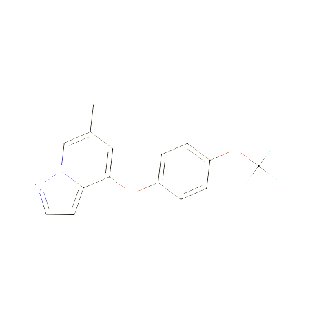 Cc1cc(Oc2ccc(OC(F)(F)F)cc2)c2ccnn2c1